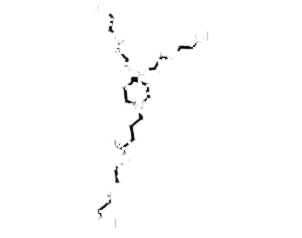 CCCOCCOC(=O)CCCN1CCC(OCCOCCO)(OCCOCCO)CC1